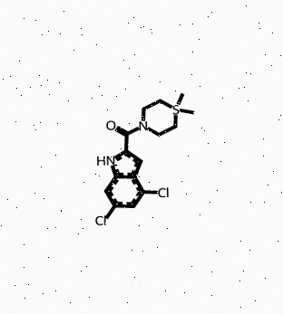 CS1(C)CCN(C(=O)c2cc3c(Cl)cc(Cl)cc3[nH]2)CC1